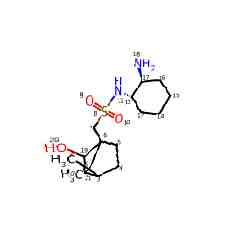 CC1(C)C2CCC1(CS(=O)(=O)N[C@H]1CCCC[C@@H]1N)C(O)C2